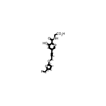 O=C(O)CNC(=O)c1ncc(C#CCOc2ccc(CF)o2)cc1O